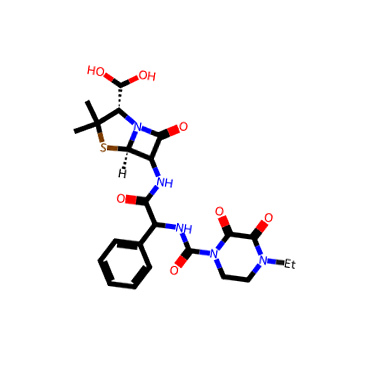 CCN1CCN(C(=O)NC(C(=O)NC2C(=O)N3[C@@H]2SC(C)(C)[C@@H]3C(O)O)c2ccccc2)C(=O)C1=O